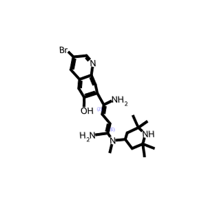 CN(/C(N)=C/C=C(\N)c1cc2ncc(Br)cc2cc1O)C1CC(C)(C)NC(C)(C)C1